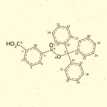 O=C(O)c1cccc(C(=O)OC(c2ccccc2)(c2ccccc2)c2ccccc2)c1